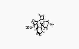 CC(C)(C)OC(=O)[N+]1(C(=O)C2CCC2)CC2(CCNCC2)c2ccccc21